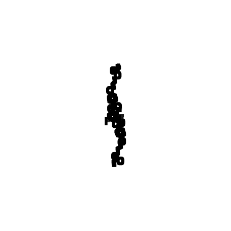 C=CC(=O)OCCCCOc1ccc(C(=O)Oc2cc(F)c(OC(=O)c3ccc(OCCCCOC(=O)C=C)cc3)c(F)c2F)cc1